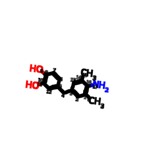 Cc1cc(Cc2ccc(O)c(O)c2)cc(C)c1N